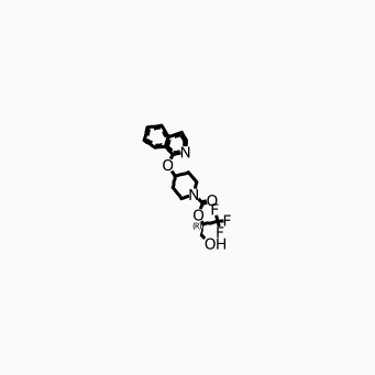 O=C(O[C@H](CO)C(F)(F)F)N1CCC(Oc2nccc3ccccc23)CC1